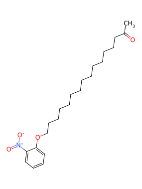 CC(=O)CCCCCCCCCCCCCCOc1ccccc1[N+](=O)[O-]